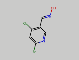 O/N=C/c1cnc(Br)cc1Cl